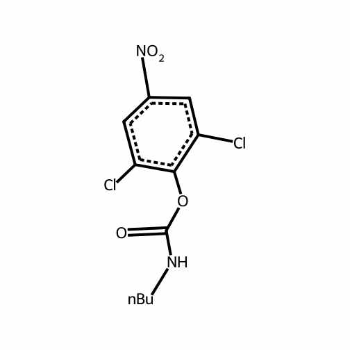 CCCCNC(=O)Oc1c(Cl)cc([N+](=O)[O-])cc1Cl